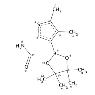 Cc1scc(B2OC(C)(C)C(C)(C)O2)c1C.NC=O